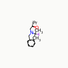 CC(C)C(=O)CN(Cc1ccccc1)C(C)(C)I